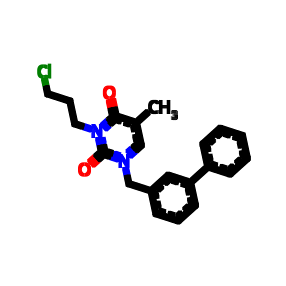 Cc1cn(Cc2cccc(-c3ccccc3)c2)c(=O)n(CCCCl)c1=O